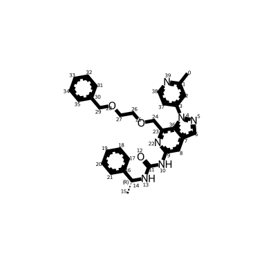 Cc1cc(-n2ncc3cc(NC(=O)N[C@H](C)c4ccccc4)nc(COCCOCc4ccccc4)c32)ccn1